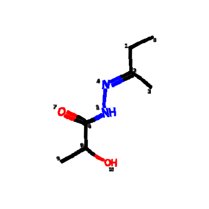 CC/C(C)=N/NC(=O)C(C)O